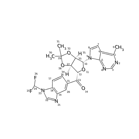 Cc1ncnc2c1ccn2[C@@H]1O[C@H](C(=O)c2ccc3c(c2)ncn3C(F)F)[C@H]2OC(C)(C)O[C@H]21